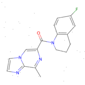 Cc1nc(C(=O)N2CCCc3cc(F)ccc32)cn2ccnc12